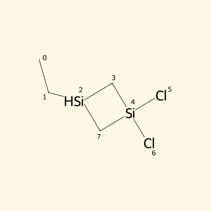 CC[SiH]1C[Si](Cl)(Cl)C1